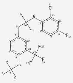 CC(C)(C)Cc1ccc(CC(C)(C)Cc2ccc(F)cc2Cl)cc1C(F)(F)F